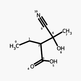 CCC(C(=O)O)C(C)(O)C#N